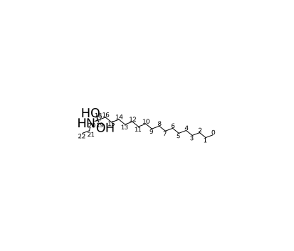 CCCCCCCCCCCCCCCCCC(O)(O)NCC